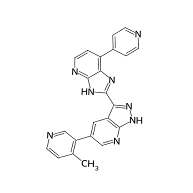 Cc1ccncc1-c1cnc2[nH]nc(-c3nc4c(-c5ccncc5)ccnc4[nH]3)c2c1